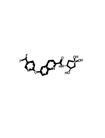 O=C(N[C@@H]1CS(O)(O)C[C@H]1O)c1ccc2cc(Oc3ccc(C(F)F)cn3)ccc2n1